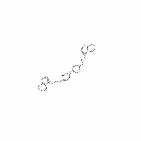 c1cc2c([n+](CCCc3ccc(-c4ccc(CCC[n+]5cccc6c5CCCC6)cc4)cc3)c1)CCCC2